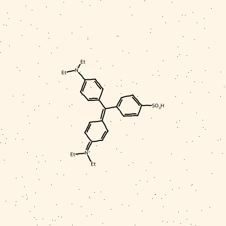 CCN(CC)c1ccc(C(=C2C=CC(=[N+](CC)CC)C=C2)c2ccc(S(=O)(=O)O)cc2)cc1